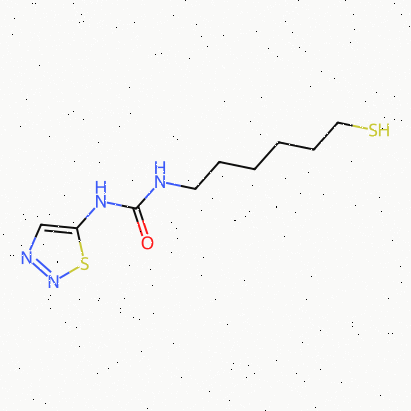 O=C(NCCCCCCS)Nc1cnns1